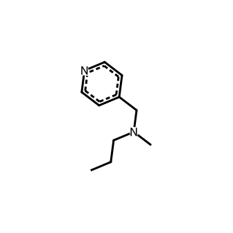 CCCN(C)Cc1ccncc1